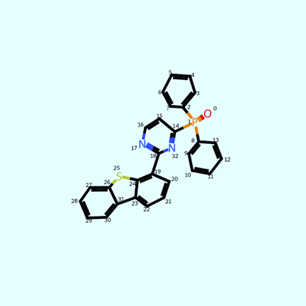 O=P(c1ccccc1)(c1ccccc1)c1ccnc(-c2cccc3c2sc2ccccc23)n1